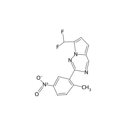 Cc1ccc([N+](=O)[O-])cc1-c1ncc2ccc(C(F)F)n2n1